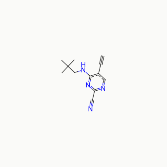 C#Cc1cnc(C#N)nc1NCC(C)(C)C